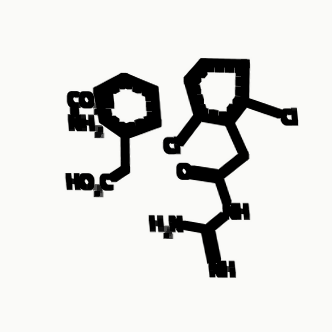 N=C(N)NC(=O)Cc1c(Cl)cccc1Cl.NC(=O)O.O=C(O)Cc1ccccc1